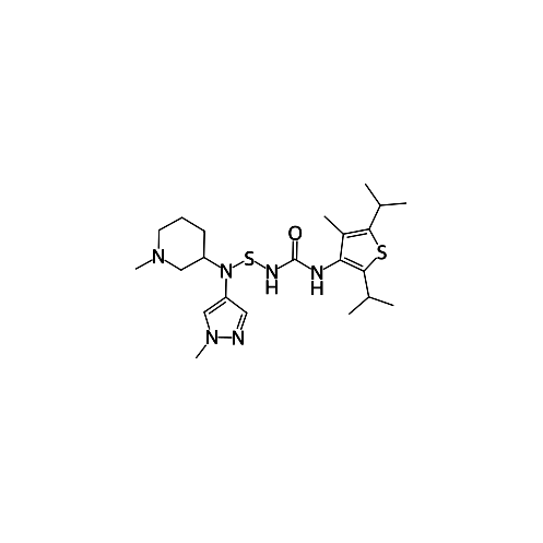 Cc1c(C(C)C)sc(C(C)C)c1NC(=O)NSN(c1cnn(C)c1)C1CCCN(C)C1